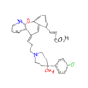 O=C(O)C=CC1C=CC=C2Oc3ncccc3C(=CCCN3CCC(O)(c4ccc(Cl)cc4)CC3)C=C21